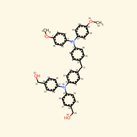 COc1ccc(N(c2ccc(Cc3ccc(N(c4ccc(CO)cc4)c4ccc(CO)cc4)cc3)cc2)c2ccc(OC)cc2)cc1